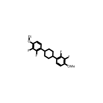 CCOc1ccc(C2CCC(c3ccc(OC)c(F)c3F)CC2)c(F)c1F